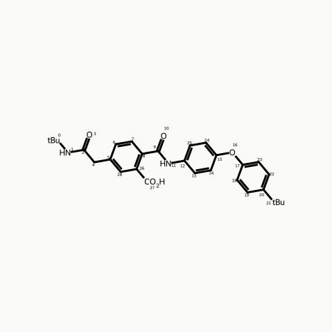 CC(C)(C)NC(=O)Cc1ccc(C(=O)Nc2ccc(Oc3ccc(C(C)(C)C)cc3)cc2)c(C(=O)O)c1